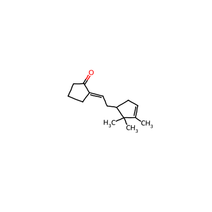 CC1=CCC(CC=C2CCCC2=O)C1(C)C